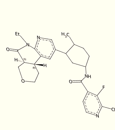 CCN1C(=O)[C@@H]2COCC[C@H]2c2cc(C3CC(NC(=O)c4ccnc(C(F)(F)F)c4F)CCC3C)cnc21